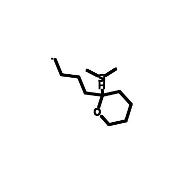 [CH2]CCCC1([SiH](C)C)CCCCO1